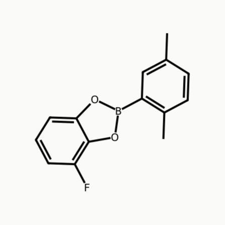 Cc1ccc(C)c(B2Oc3cccc(F)c3O2)c1